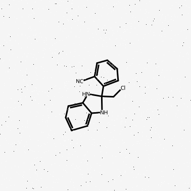 N#Cc1ccccc1C1(CCl)Nc2ccccc2N1